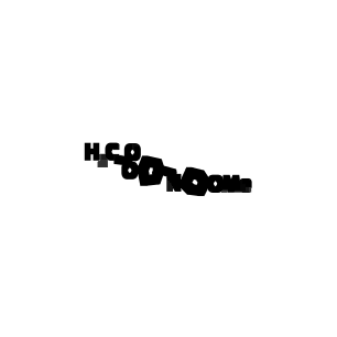 C=CC(=O)Oc1ccc(C=Nc2ccc(OC)cc2)cc1